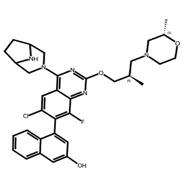 C[C@@H](COc1nc(N2CC3CCC(C2)N3)c2cc(Cl)c(-c3cc(O)cc4ccccc34)c(F)c2n1)CN1CCO[C@@H](C)C1